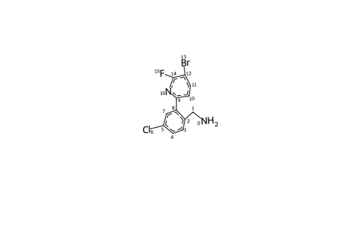 NCc1ccc(Cl)cc1-c1ccc(Br)c(F)n1